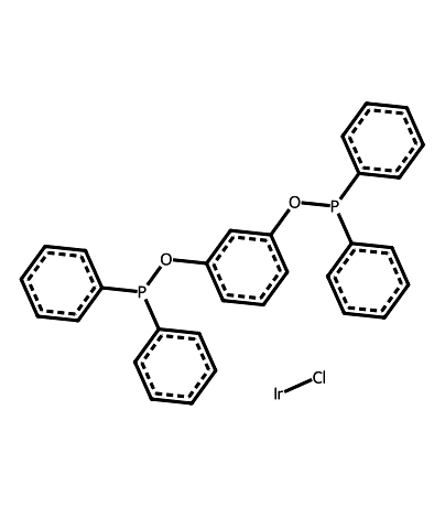 [Cl][Ir].c1ccc(P(Oc2cccc(OP(c3ccccc3)c3ccccc3)c2)c2ccccc2)cc1